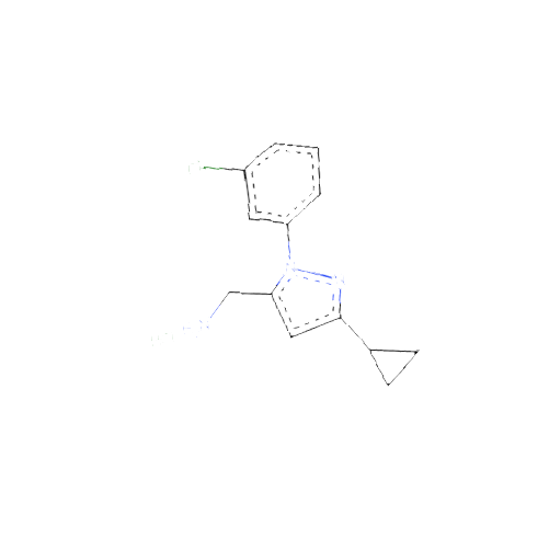 Cl.NCc1cc(C2CC2)nn1-c1cccc(Cl)c1